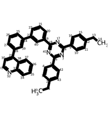 CCc1ccc(-c2nc(-c3ccc(CC)cc3)nc(-c3cccc(-c4cccc(-c5ccnc6ccccc56)c4)c3)n2)cc1